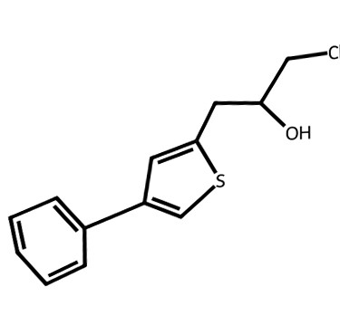 OC(CCl)Cc1cc(-c2ccccc2)cs1